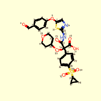 O=Cc1ccc(Oc2cnc(NC(=O)C(OC3CCOCC3)(C(=O)O)c3ccc(S(=O)(=O)C4CC4)cc3)s2)cc1